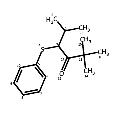 CC(C)C(Sc1ccccc1)C(=O)C(C)(C)C